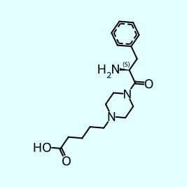 N[C@@H](Cc1ccccc1)C(=O)N1CCN(CCCCC(=O)O)CC1